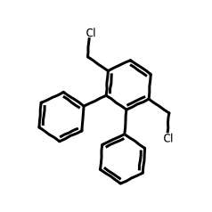 ClCc1ccc(CCl)c(-c2ccccc2)c1-c1ccccc1